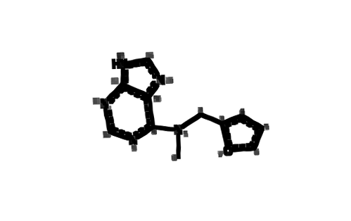 CN(Cc1ccco1)c1ncnc2[nH]cnc12